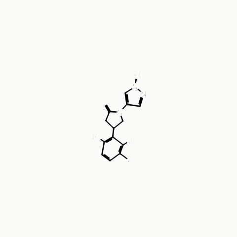 Cn1cc(N2CC(c3c(O)ccc(Cl)c3Cl)CC2=S)cn1